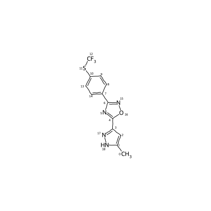 Cc1cc(-c2nc(-c3ccc(SC(F)(F)F)cc3)no2)n[nH]1